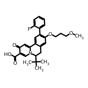 COCCCOc1cc2c(cc1-c1ccccc1F)-c1cc(=O)c(C(=O)O)cn1C(C(C)(C)C)C2